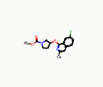 CC(C)(C)OC(=O)N1CCC(Oc2nc(C#N)cc3ccc(F)cc23)C1